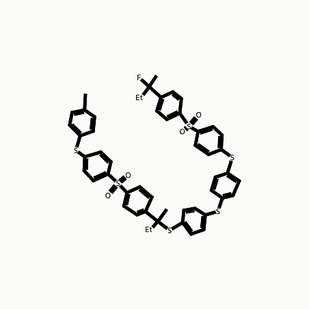 CCC(C)(F)c1ccc(S(=O)(=O)c2ccc(Sc3ccc(Sc4ccc(SC(C)(CC)c5ccc(S(=O)(=O)c6ccc(Sc7ccc(C)cc7)cc6)cc5)cc4)cc3)cc2)cc1